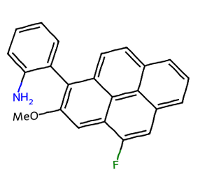 COc1cc2c(F)cc3cccc4ccc(c1-c1ccccc1N)c2c43